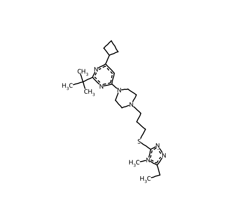 CCc1nnc(SCCCN2CCN(c3cc(C4CCC4)nc(C(C)(C)C)n3)CC2)n1C